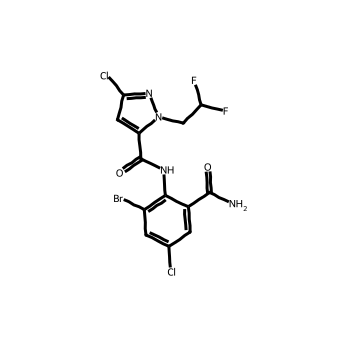 NC(=O)c1cc(Cl)cc(Br)c1NC(=O)c1cc(Cl)nn1CC(F)F